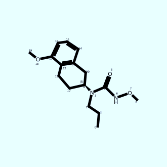 CCCN(C(=O)NOC)[C@H]1CCc2c(cccc2OC)C1